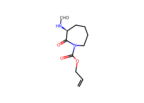 C=CCOC(=O)N1CCCC[C@H](NC=O)C1=O